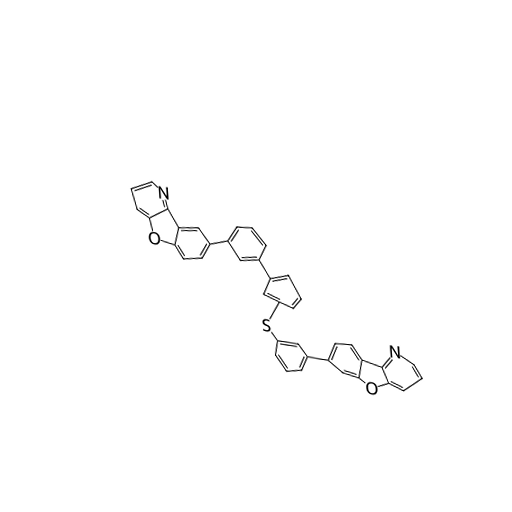 c1cc(Sc2cccc(-c3ccc4c(c3)oc3cccnc34)c2)cc(-c2cccc(-c3ccc4oc5cccnc5c4c3)c2)c1